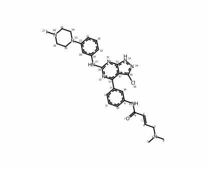 CN(C)C/C=C/C(=O)Nc1cccc(-c2nc(Nc3cccc(N4CCN(I)CC4)c3)nc3[nH]nc(Cl)c23)c1